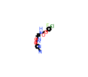 CC1(c2nnc(Oc3ccc(C#N)nc3)o2)C=C(NC(=O)COc2ccc(Cl)c(F)c2)C1